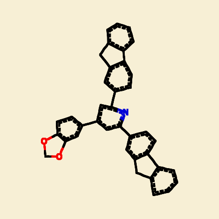 c1ccc2c(c1)Cc1cc(-c3cc(-c4ccc5c(c4)OCO5)cc(-c4ccc5c(c4)Cc4ccccc4-5)n3)ccc1-2